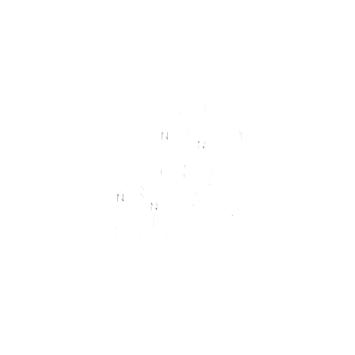 CC(C)(C)c1cc2cc(N(c3cccnc3)c3cccc4ccccc34)c3cccc4c(N(c5cccnc5)c5cccc6ccccc56)cc(c1)c2c34